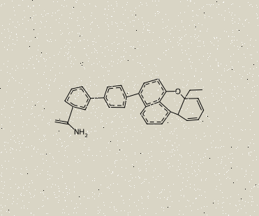 C=C(N)c1cccc(-c2ccc(-c3ccc4c5c(cccc35)C3C=CC=CC3(CC)O4)cc2)c1